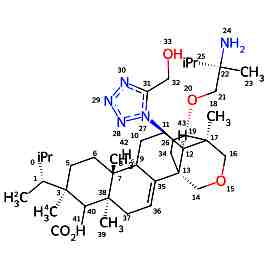 CC(C)[C@@H](C)[C@@]1(C)CC[C@]2(C)[C@H]3CC[C@@H]4[C@@]5(COC[C@]4(C)[C@@H](OC[C@](C)(N)C(C)C)[C@H](n4nnnc4CO)C5)C3=CC[C@@]2(C)C1C(=O)O